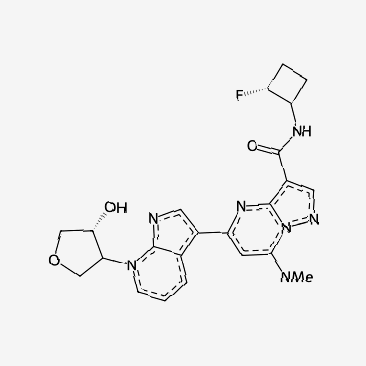 CNc1cc(-c2cnc3n(C4COC[C@@H]4O)cccc2-3)nc2c(C(=O)NC3CC[C@H]3F)cnn12